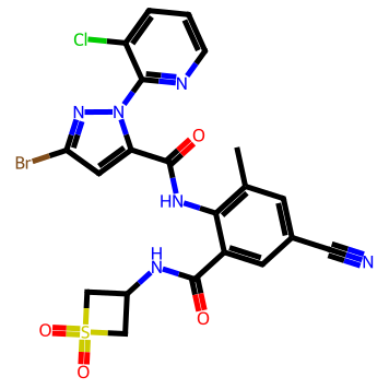 Cc1cc(C#N)cc(C(=O)NC2CS(=O)(=O)C2)c1NC(=O)c1cc(Br)nn1-c1ncccc1Cl